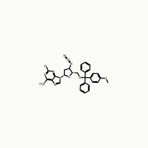 COc1ccc(C(OC[C@H]2O[C@@H](n3cnc4c(N)nc(Cl)nc43)CC2N=[N+]=[N-])(c2ccccc2)c2ccccc2)cc1